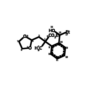 CCOC(=O)C(C)(CC1OCCO1)c1ccccc1C(O)CC